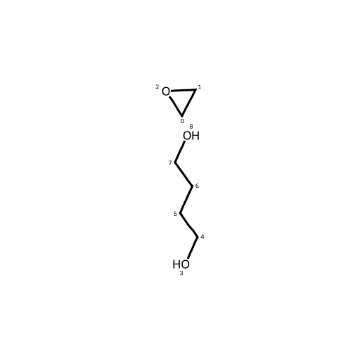 C1CO1.OCCCCO